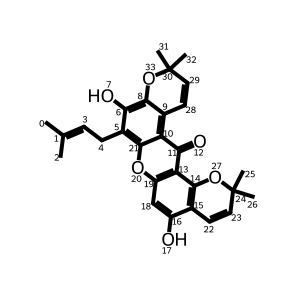 CC(C)=CCc1c(O)c2c(c3c(=O)c4c5c(c(O)cc4oc13)C=CC(C)(C)O5)C=CC(C)(C)O2